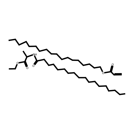 C=CC(=O)OCCCCCCCCCCCCCCCCCC.CCCCCCCCCCCCCCCCCC(=O)NC(C)C(=O)OCC